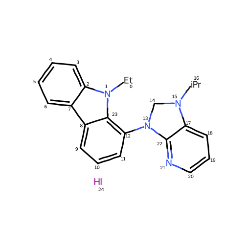 CCn1c2ccccc2c2cccc(N3CN(C(C)C)c4cccnc43)c21.I